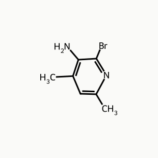 Cc1cc(C)c(N)c(Br)n1